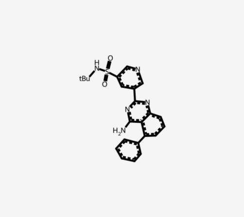 CC(C)(C)NS(=O)(=O)c1cncc(-c2nc(N)c3c(-c4ccccc4)cccc3n2)c1